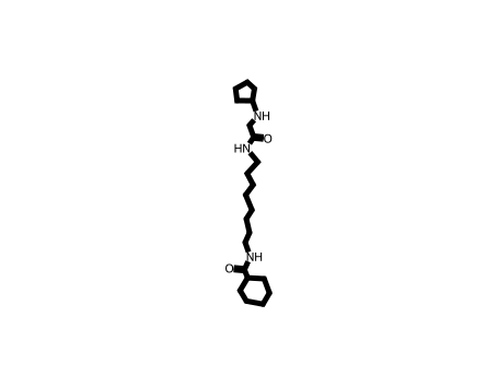 O=C(CNC1CCCC1)NCCCCCCCCNC(=O)C1CCCCC1